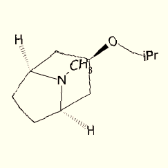 CC(C)O[C@H]1C[C@H]2CC[C@@H](C1)N2C